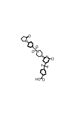 O=C(O)c1ccc(C(F)(F)c2cc(Cl)nc(N3CCN(S(=O)(=O)c4ccc(N5CCCC5=O)cc4)CC3)c2)cc1